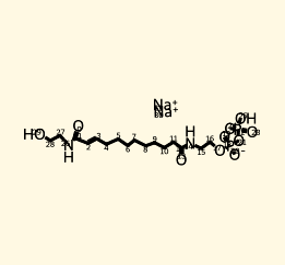 O=C(C=CCCCCCCCCC(=O)NCCOP(=O)([O-])OP(=O)([O-])O)NCCO.[Na+].[Na+]